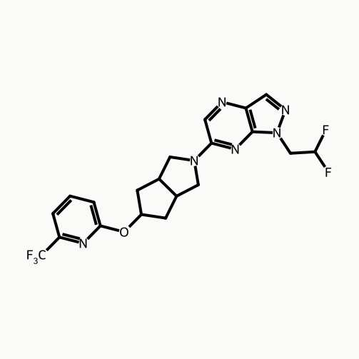 FC(F)Cn1ncc2ncc(N3CC4CC(Oc5cccc(C(F)(F)F)n5)CC4C3)nc21